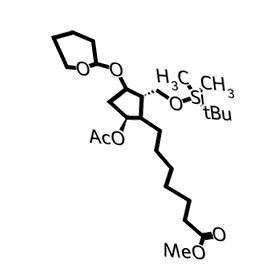 COC(=O)CCCCCCC1[C@@H](CO[Si](C)(C)C(C)(C)C)C(OC2CCCCO2)C[C@@H]1OC(C)=O